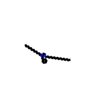 CCCCCCCCCCCCCCCCn1cc[n+](CCCCCCCCCCCC)c1Cc1ccccc1